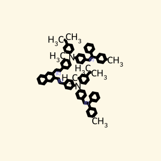 Cc1ccc(/C(=C/c2ccc(N(c3ccc(/C=C/c4cc5ccccc5cc4/C=C/c4ccc(N(c5ccc(/C=C(\c6ccccc6)c6ccc(C)cc6)cc5)c5ccc(C(C)C)cc5C)cc4)cc3)c3ccc(C(C)C)cc3C)cc2)c2ccccc2)cc1